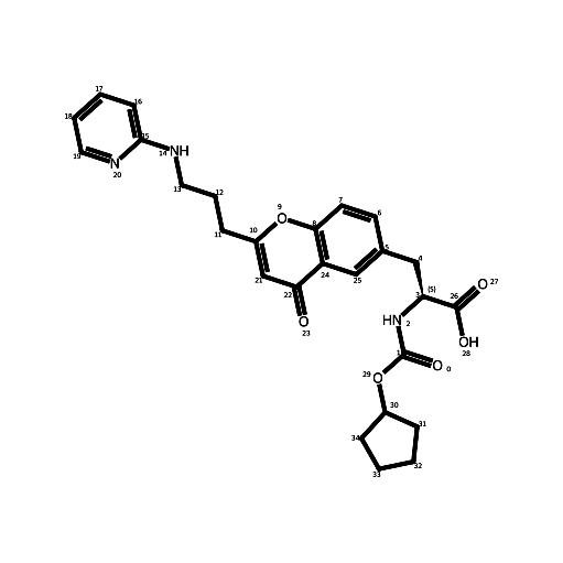 O=C(N[C@@H](Cc1ccc2oc(CCCNc3ccccn3)cc(=O)c2c1)C(=O)O)OC1CCCC1